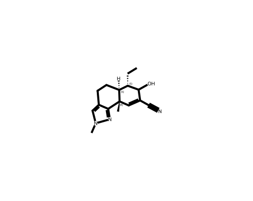 CC[C@@H]1C(O)C(C#N)=C[C@]2(C)c3nn(C)cc3CC[C@@H]12